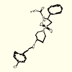 O=C(O)NC(CS(=O)(=O)N1CCC(OCc2ccc(Cl)cc2)CC1)c1ccccc1